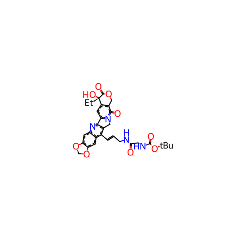 CC[C@@]1(O)C(=O)OCc2c1cc1n(c2=O)Cc2c-1nc1cc3c(cc1c2/C=C/CNC(=O)CNC(=O)OC(C)(C)C)OCO3